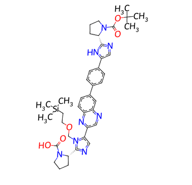 CC(C)(C)OC(=O)N1CCC[C@H]1c1ncc(-c2ccc(-c3ccc4nc(-c5cnc([C@@H]6CCCN6C(=O)O)n5COCC[Si](C)(C)C)cnc4c3)cc2)[nH]1